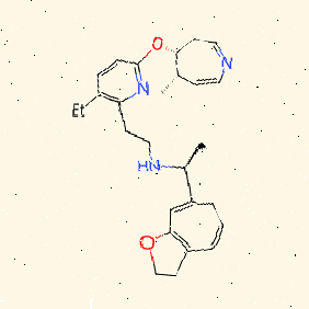 CCc1ccc(O[C@@H]2CC=NC=C[C@@H]2C)nc1CCN[C@@H](C)C1=CC2=C(C=CC1)CCO2